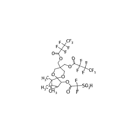 CC1(C)C2CCC1(C)C1(OCC(COC(=O)C(F)(F)C(F)(F)C(F)(F)F)(COC(=O)C(F)(F)C(F)(F)C(F)(F)F)CO1)C2OC(=O)C(F)(F)S(=O)(=O)O